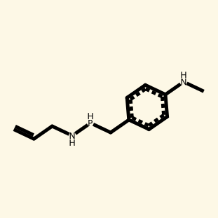 C=CCNPCc1ccc(NC)cc1